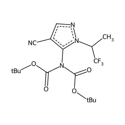 CC(n1ncc(C#N)c1N(C(=O)OC(C)(C)C)C(=O)OC(C)(C)C)C(F)(F)F